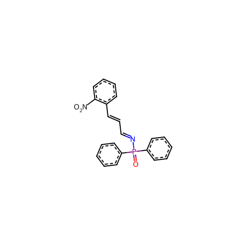 O=[N+]([O-])c1ccccc1/C=C/C=N/P(=O)(c1ccccc1)c1ccccc1